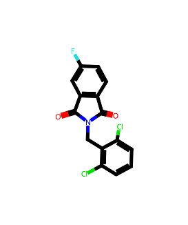 O=C1c2ccc(F)cc2C(=O)N1Cc1c(Cl)cccc1Cl